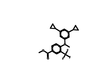 COC(=O)c1ccc(N(C)c2cc(C3CC3)cc(C3CC3)c2)c(C(F)(F)F)c1